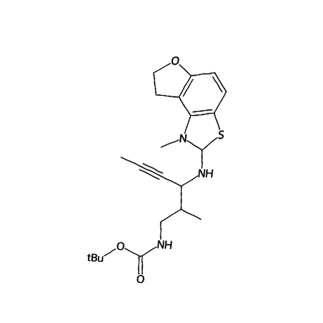 CC#CC(NC1Sc2ccc3c(c2N1C)CCO3)C(C)CNC(=O)OC(C)(C)C